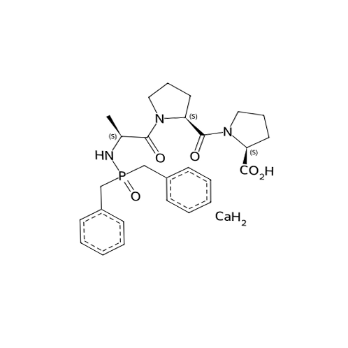 C[C@H](NP(=O)(Cc1ccccc1)Cc1ccccc1)C(=O)N1CCC[C@H]1C(=O)N1CCC[C@H]1C(=O)O.[CaH2]